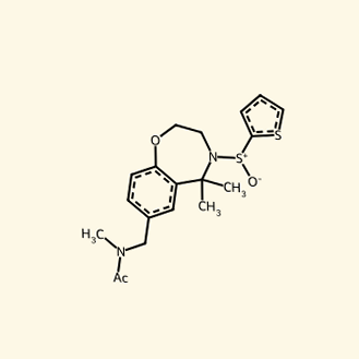 CC(=O)N(C)Cc1ccc2c(c1)C(C)(C)N([S+]([O-])c1cccs1)CCO2